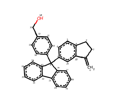 C=C1CCc2ccc(C3(c4ccc(CO)cc4)c4ccccc4-c4ccccc43)cc21